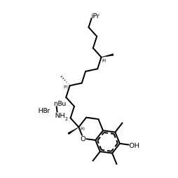 Br.CCCCN.Cc1c(C)c2c(c(C)c1O)CC[C@@](C)(CCC[C@H](C)CCC[C@H](C)CCCC(C)C)O2